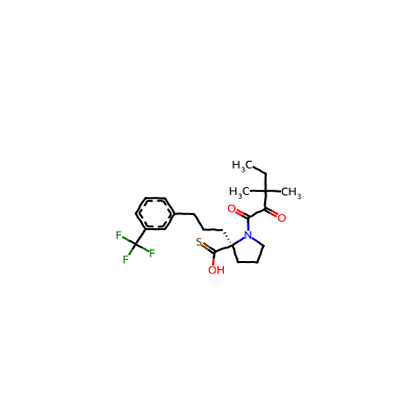 CCC(C)(C)C(=O)C(=O)N1CCC[C@@]1(CCCc1cccc(C(F)(F)F)c1)C(O)=S